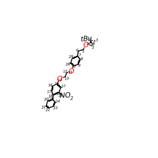 CC(C)(C)[Si](C)(C)OCCc1ccc(OCCOc2ccc(-c3ccccc3)c([N+](=O)[O-])c2)cc1